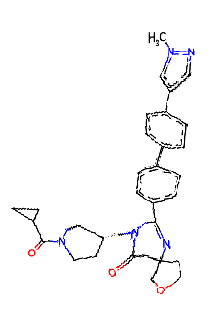 Cn1cc(-c2ccc(-c3ccc(C4=NC5(CCOC5)C(=O)N4C[C@@H]4CCN(C(=O)C5CC5)C4)cc3)cc2)cn1